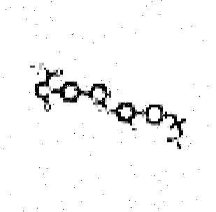 CN(C)CC(C)(C)CN1CCN(c2ccc(Nc3nccc(-c4ccc(N5C(=O)CCC5C(N)=O)cc4)n3)cc2F)CC1